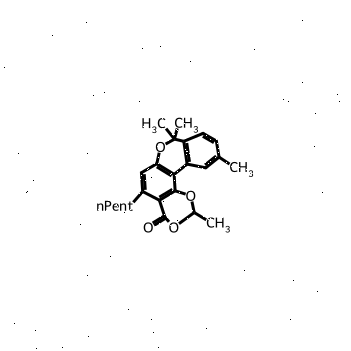 CCCCCc1cc2c(c3c1C(=O)OC(C)O3)-c1cc(C)ccc1C(C)(C)O2